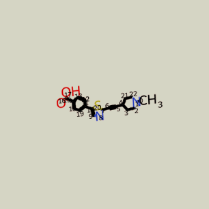 CN1CCC(C#Cc2ncc(-c3ccc(C(=O)O)cc3)s2)CC1